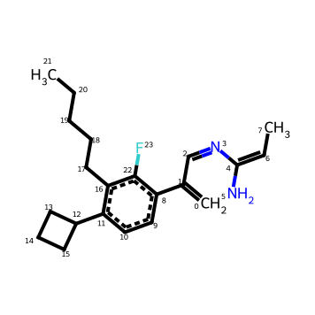 C=C(/C=N\C(N)=C/C)c1ccc(C2CCC2)c(CCCCC)c1F